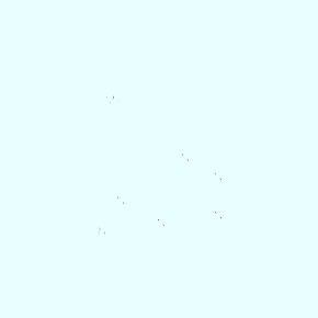 CCCn1ccnc1CN1Cc2ncnc(NCc3c(Cl)ccc(OC)c3F)c2C1